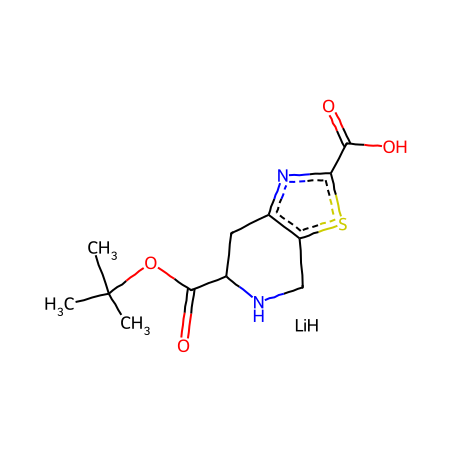 CC(C)(C)OC(=O)C1Cc2nc(C(=O)O)sc2CN1.[LiH]